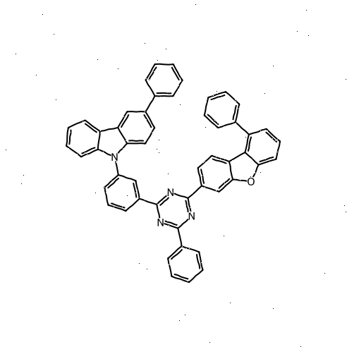 c1ccc(-c2ccc3c(c2)c2ccccc2n3-c2cccc(-c3nc(-c4ccccc4)nc(-c4ccc5c(c4)oc4cccc(-c6ccccc6)c45)n3)c2)cc1